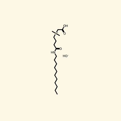 CCCCCCCCCCCNC(=O)CCC[N+](C)(C)CC(=O)O.[OH-]